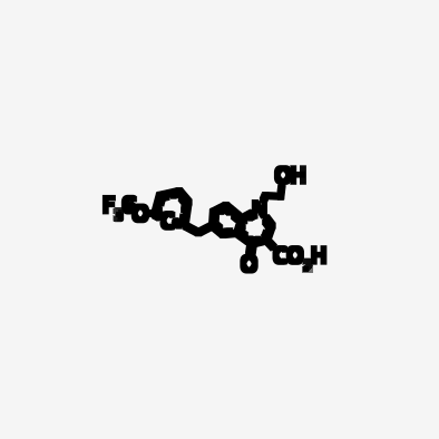 O=C(O)c1cn(CCO)c2ccc(Cc3cccc(OC(F)(F)F)c3)cc2c1=O